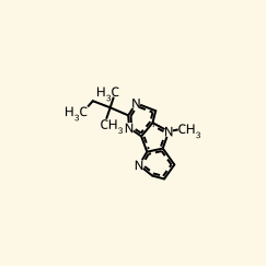 CCC(C)(C)c1ncc2c(n1)c1ncccc1n2C